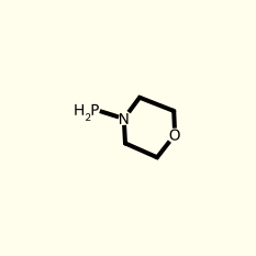 PN1CCOCC1